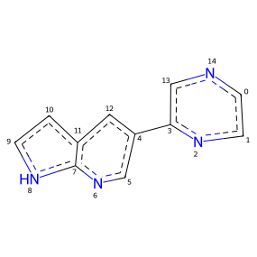 c1cnc(-c2cnc3[nH]ccc3c2)cn1